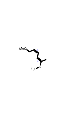 COC/C=C\C=C(/C)OC(F)(F)F